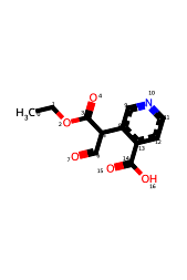 CCOC(=O)C(C=O)c1cnccc1C(=O)O